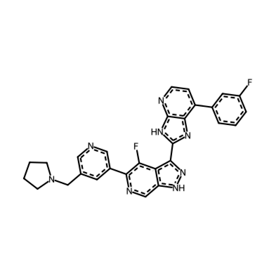 Fc1cccc(-c2ccnc3[nH]c(-c4n[nH]c5cnc(-c6cncc(CN7CCCC7)c6)c(F)c45)nc23)c1